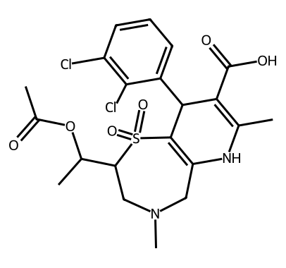 CC(=O)OC(C)C1CN(C)CC2=C(C(c3cccc(Cl)c3Cl)C(C(=O)O)=C(C)N2)S1(=O)=O